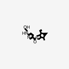 C=CC1C2CC2C(C)C2CN(C(=O)c3ccc(NCCO)nc3)CC12